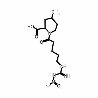 CC1CCN(C(=O)CCCCNC(=N)N[N+](=O)[O-])C(C(=O)O)C1